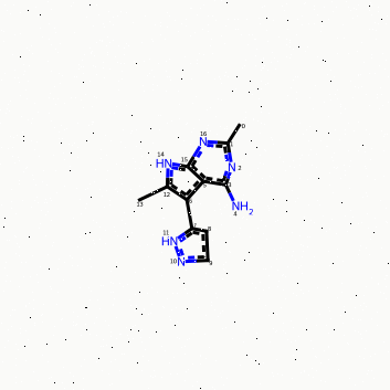 Cc1nc(N)c2c(-c3ccn[nH]3)c(C)[nH]c2n1